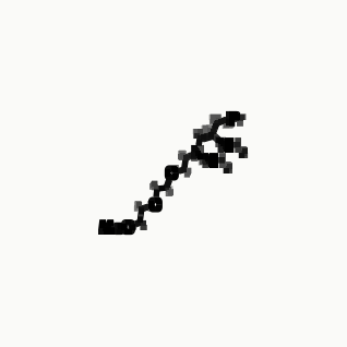 COCCOCCOCCN(N)/C=C(\N)CC(C)C